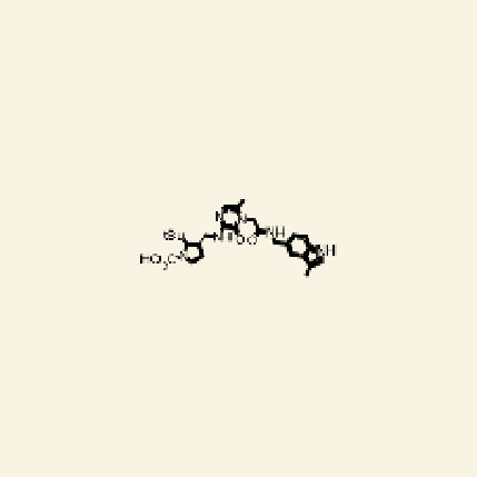 Cc1c[nH]c2ccc(CNC(=O)Cn3c(C)cnc(NC[C@H]4CCN(C(=O)O)C4C(C)(C)C)c3=O)cc12